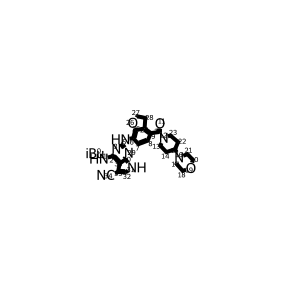 CC[C@@H](C)Nc1nc(Nc2ccc(C(=O)N3CCC(N4CCOCC4)CC3)c3c2OCC3)nc2[nH]cc(C#N)c12